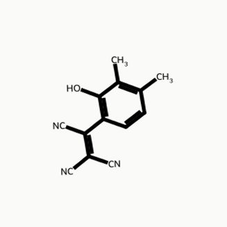 Cc1ccc(C(C#N)=C(C#N)C#N)c(O)c1C